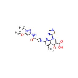 COc1cc(NC(=O)C2CN(c3cc(C)c4c(=O)c(C(=O)O)cn(-c5ncns5)c4n3)C2)nn1C